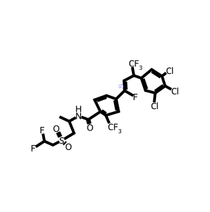 CC(CS(=O)(=O)CC(F)F)NC(=O)c1ccc(/C(F)=C/C(c2cc(Cl)c(Cl)c(Cl)c2)C(F)(F)F)cc1C(F)(F)F